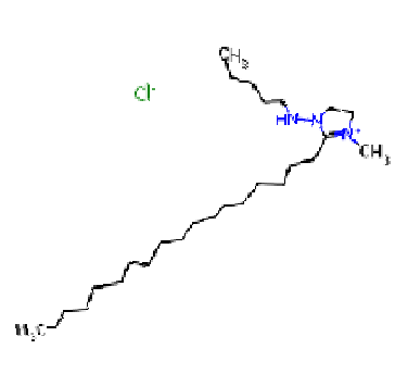 CCCCCCCCCCCCCCCCCCC1=[N+](C)CCN1NCCCCC.[Cl-]